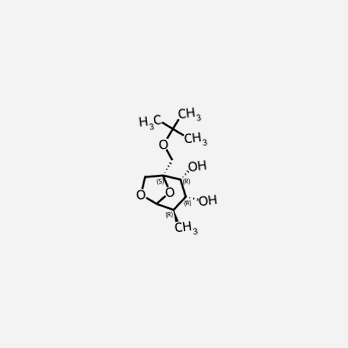 C[C@H]1C2OC[C@](COC(C)(C)C)(O2)[C@H](O)[C@@H]1O